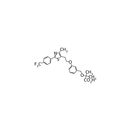 Cc1nc(-c2ccc(C(F)(F)F)cc2)sc1CCOc1cccc(COC(C)(C)C(=O)O)c1